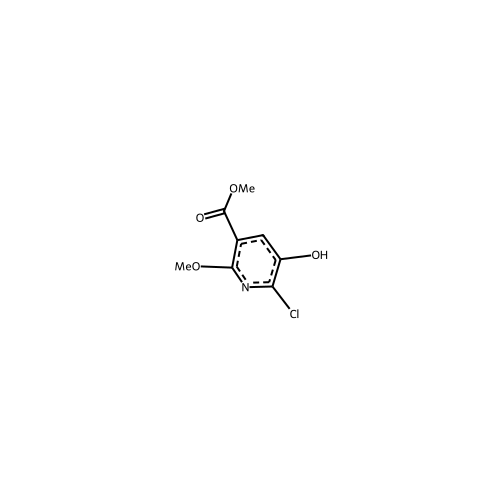 COC(=O)c1cc(O)c(Cl)nc1OC